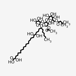 CCCCCCC(CCCC(O)C(O)CCCCCCCCCCCCCCC(O)C(=O)O)OC1OCC(O)C(O)C1OC1OCC(OC(C)=O)C(O)C1OC1OC(COC(=O)CC(C)C)C(O)C(O)C1O